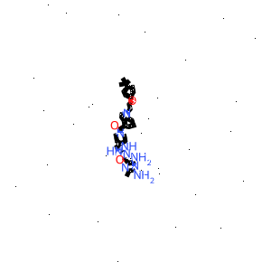 Cc1nc(C(=O)/N=C2\NCC3(CCN(C(=O)c4cccc5c4ccn5CCOc4ccc(C(C)(C)C)cc4)CC3)N2)c(N)nc1N